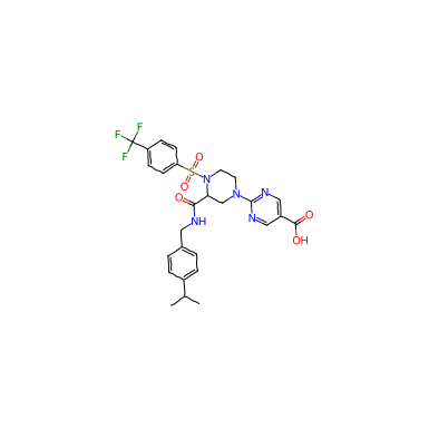 CC(C)c1ccc(CNC(=O)C2CN(c3ncc(C(=O)O)cn3)CCN2S(=O)(=O)c2ccc(C(F)(F)F)cc2)cc1